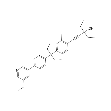 CCc1cncc(-c2ccc(C(CC)(CC)c3ccc(C#CC(O)(CC)CC)c(C)c3)cc2)c1